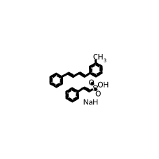 Cc1cccc(C=CC=Cc2ccccc2)c1.O=S(=O)(O)C=Cc1ccccc1.[NaH]